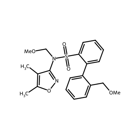 COCc1ccccc1-c1ccccc1S(=O)(=O)N(COC)c1noc(C)c1C